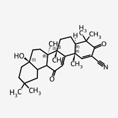 CC1(C)CC[C@]2(O)CC[C@]3(C)C(C(=O)C=C4[C@@]5(C)C=C(C#N)C(=O)C(C)(C)[C@@H]5CC[C@]43C)C2C1